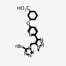 CCCCc1nnnn1Cc1c(-c2ccc(O[C@H]3CCC[C@H](C(=O)O)C3)cn2)nnn1C